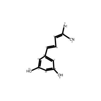 CC(=O)/C(C#N)=C/C=C/c1cc(O)cc(O)c1